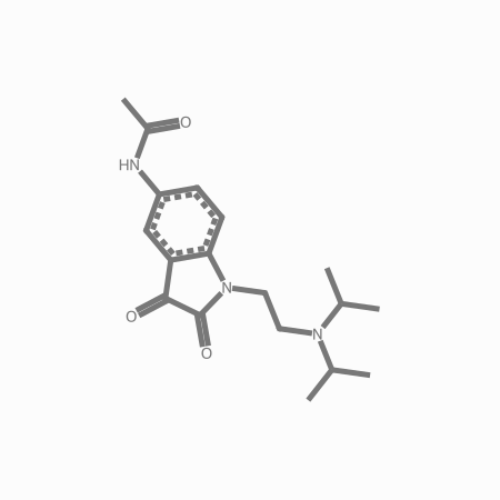 CC(=O)Nc1ccc2c(c1)C(=O)C(=O)N2CCN(C(C)C)C(C)C